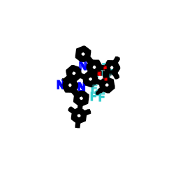 Cc1cc(C)c(-c2ccc3c(c2)c2ccccc2n3-c2cc(-c3c(C(F)(F)F)cccc3C(F)(F)F)ccc2-c2cc(C#N)ccc2-n2c3ccccc3c3cc(-c4cc(C)cc(C)c4C)ccc32)c(C)c1